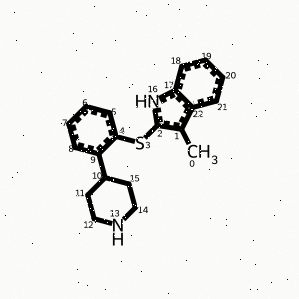 Cc1c(Sc2ccccc2C2CCNCC2)[nH]c2ccccc12